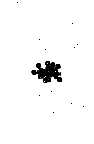 CO[C@H]1O[C@H](COCc2ccccc2)[C@@H](O[C@@H]2O[C@@H](C(=O)OCc3ccccc3)[C@@H](C3O[C@H](COCc4ccccc4)[C@@H](O)[C@H](OCc4ccccc4)[C@H]3OCc3ccccc3)[C@H](OC)[C@H]2OCc2ccccc2)[C@H](OCc2ccccc2)[C@H]1OCc1ccccc1